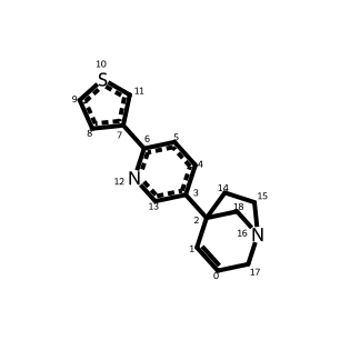 C1=CC2(c3ccc(-c4ccsc4)nc3)CCN(C1)C2